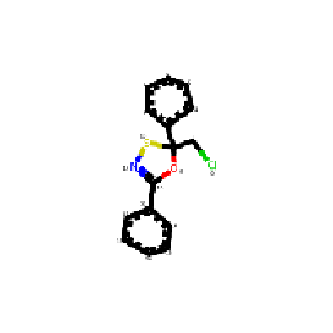 ClCC1(c2ccccc2)OC(c2ccccc2)=NS1